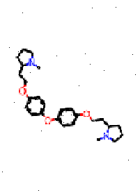 CN1CCCC1CCOc1ccc(Oc2ccc(OCCC3CCCN3C)cc2)cc1